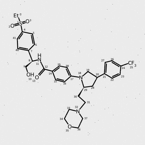 CCS(=O)(=O)c1ccc([C@H](CO)NC(=O)c2ccc(N3CC(c4ccc(C(F)(F)F)cc4)C[C@H]3CCN3CCOCC3)cc2)cc1